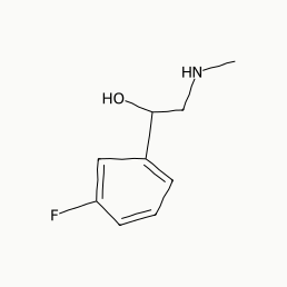 CNCC(O)c1cccc(F)c1